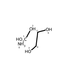 N.O=C(O)O.OCCO